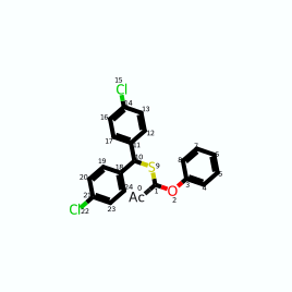 CC(=O)C(Oc1ccccc1)SC(c1ccc(Cl)cc1)c1ccc(Cl)cc1